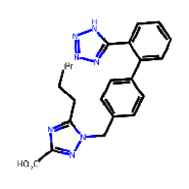 CC(C)CCc1nc(C(=O)O)nn1Cc1ccc(-c2ccccc2-c2nnn[nH]2)cc1